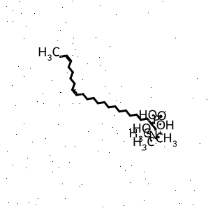 CC/C=C\CCCC/C=C\CCCCCCCCCCCCCC(O)(C[N+](C)(C)C)P(=O)(O)O